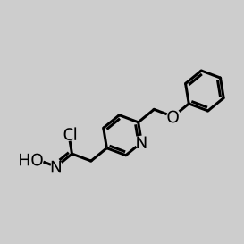 O/N=C(\Cl)Cc1ccc(COc2ccccc2)nc1